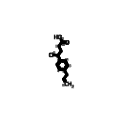 C=CCc1ccc(C(Cl)CCC(=O)O)cc1